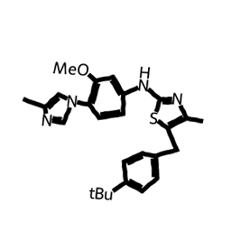 COc1cc(Nc2nc(C)c(Cc3ccc(C(C)(C)C)cc3)s2)ccc1-n1cnc(C)c1